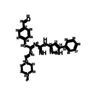 CN1CCN(/C=N/C(=N\C(=N)Nc2cc(-c3ccccc3)[nH]n2)Sc2ccc(C=O)cc2)CC1